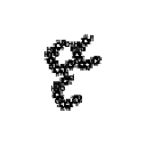 COc1ccc(NC(=O)Nc2ccc(Oc3ccc4ncc(N5CCOCC5)nc4c3)c(F)c2)cc1.O=C(Nc1ccc(F)cc1)Nc1ccc(Oc2ccc3ncc(N4CCOCC4)nc3c2)c(F)c1.O=C(Nc1ccc(Oc2ccc3ncc(N4CCOCC4)nc3c2)c(F)c1)Nc1ccc(Cl)c(Cl)c1